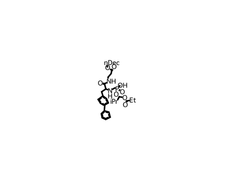 CCCCCCCCCCOC(=O)CCNC(=O)C(Cc1ccc(-c2ccccc2)cc1)NCP(=O)(O)OC(OC(=O)CC)C(C)C